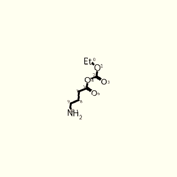 CCOC(=O)OC(=O)CCCN